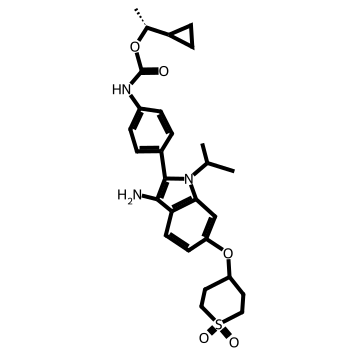 CC(C)n1c(-c2ccc(NC(=O)O[C@H](C)C3CC3)cc2)c(N)c2ccc(OC3CCS(=O)(=O)CC3)cc21